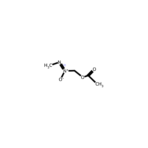 C/N=[N+](\[O-])COC(C)=O